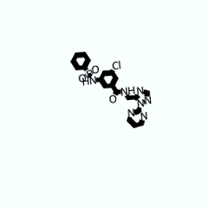 O=C(NCc1ncnn1-c1ncccn1)c1cc(Cl)cc(NS(=O)(=O)c2ccccc2)c1